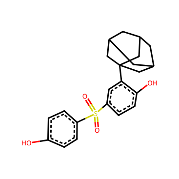 O=S(=O)(c1ccc(O)cc1)c1ccc(O)c(C23CC4CC(CC(C4)C2)C3)c1